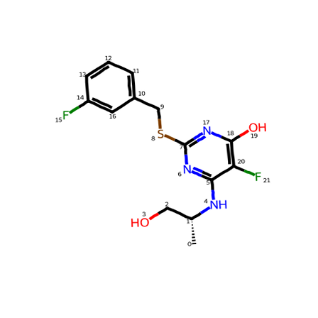 C[C@H](CO)Nc1nc(SCc2cccc(F)c2)nc(O)c1F